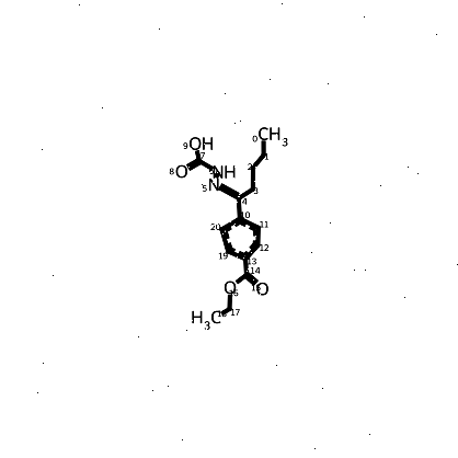 CCCCC(=NNC(=O)O)c1ccc(C(=O)OCC)cc1